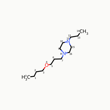 CCCCOCCCN1CCN(CCC)CC1